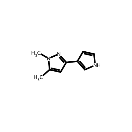 Cc1cc(-c2cc[nH]c2)nn1C